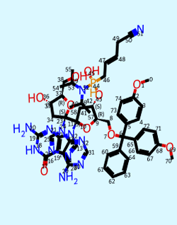 COc1ccc(C(OC[C@H]2O[C@](n3cnc4c(=O)[nH]c(N)nc43)([C@]3(n4cnc5c(N)ncnc54)C[C@H](O)[C@@H](CO)O3)C[C@@H]2O[PH](O)(CC=CCC#N)N(C(C)C)C(C)C)(c2ccccc2)c2ccc(OC)cc2)cc1